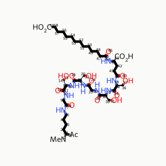 CN[C@@H](CCCCNC(=O)CNC(=O)[C@H](CO)NC(=O)[C@H](CO)NC(=O)CNC(=O)[C@H](CO)NC(=O)[C@H](CO)NC(=O)CC[C@H](NC(=O)CCCCCCCCCCCCC(=O)O)C(=O)O)C(C)=O